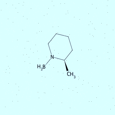 BN1CCCC[C@H]1C